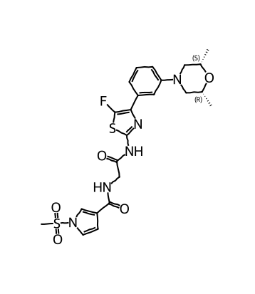 C[C@@H]1CN(c2cccc(-c3nc(NC(=O)CNC(=O)c4ccn(S(C)(=O)=O)c4)sc3F)c2)C[C@H](C)O1